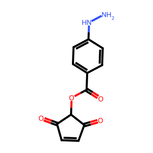 NNc1ccc(C(=O)OC2C(=O)C=CC2=O)cc1